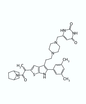 C=C(C(=O)N1C2CCC1CC2)c1cc2c(CCN3CCN(Cc4cc(=O)[nH]c(=O)[nH]4)CC3)c(-c3cc(C)cc(C)c3)[nH]c2s1